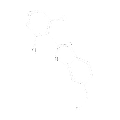 Clc1cccc(Cl)c1-c1nc2cc(CBr)ccc2o1